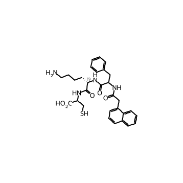 NCCCC[C@H](NC(=O)C(Cc1ccccc1)NC(=O)Cc1cccc2ccccc12)C(=O)NC(CS)C(=O)O